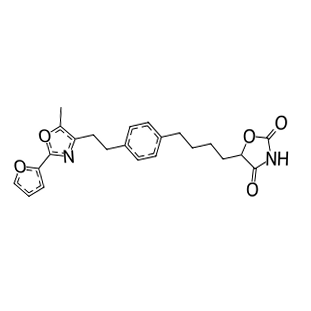 Cc1oc(-c2ccco2)nc1CCc1ccc(CCCCC2OC(=O)NC2=O)cc1